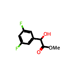 COC(=O)C(O)c1cc(F)cc(F)c1